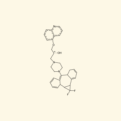 O[C@@H](COc1cccc2ncccc12)CN1CCN(C2=C3C=CC=CC3C3C(C4=CC=CCC42)C3(F)F)CC1